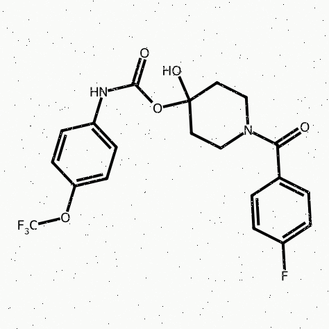 O=C(Nc1ccc(OC(F)(F)F)cc1)OC1(O)CCN(C(=O)c2ccc(F)cc2)CC1